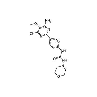 CSc1c(N)nc(-c2ccc(NC(=O)NN3CCOCC3)cc2)nc1Cl